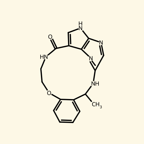 CC1Nc2cnc3[nH]cc(c3n2)C(=O)NCCOc2ccccc21